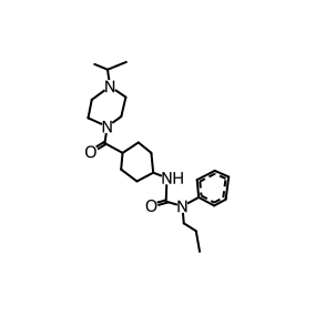 CCCN(C(=O)NC1CCC(C(=O)N2CCN(C(C)C)CC2)CC1)c1ccccc1